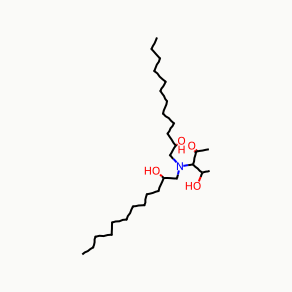 CCCCCCCCCCC(O)CN(CC(O)CCCCCCCCCC)C(C(C)=O)C(C)O